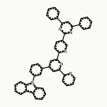 c1ccc(-c2cc(-c3ccccc3)nc(-c3ccc(-c4cc(-c5cccc(-n6c7ccccc7c7ccccc76)c5)cc(-c5ccccn5)n4)nc3)n2)cc1